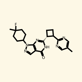 Cc1cnc(C2CC[C@H]2c2nc3c(cnn3C3CCC(C)(F)CC3)c(=O)[nH]2)nc1